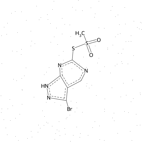 CS(=O)(=O)Sc1ncc2c(Br)n[nH]c2n1